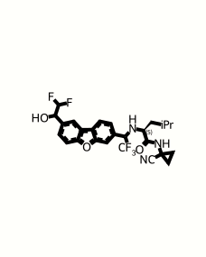 CC(C)C[C@H](NC(c1ccc2c(c1)oc1ccc(C(O)C(F)F)cc12)C(F)(F)F)C(=O)NC1(C#N)CC1